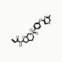 C=CC(=O)NC1CC2CCN(S(=O)(=O)c3ccc(Oc4cncc(C)n4)cc3)CC2O1